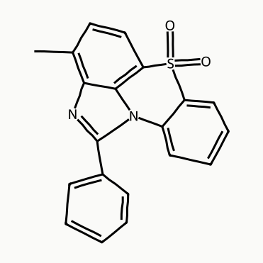 Cc1ccc2c3c1nc(-c1ccccc1)n3-c1ccccc1S2(=O)=O